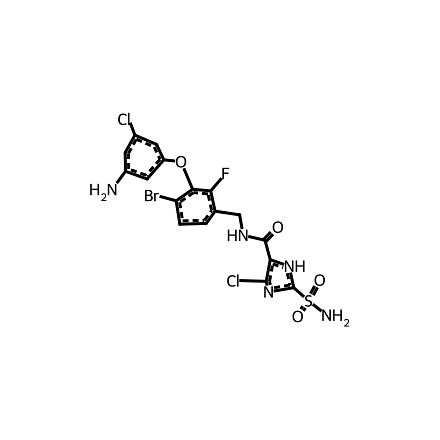 Nc1cc(Cl)cc(Oc2c(Br)ccc(CNC(=O)c3[nH]c(S(N)(=O)=O)nc3Cl)c2F)c1